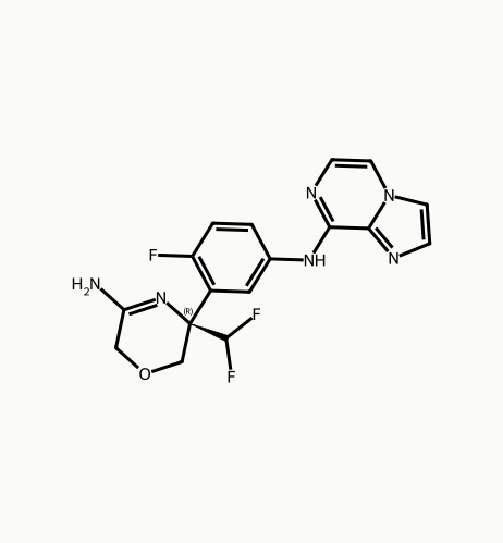 NC1=N[C@@](c2cc(Nc3nccn4ccnc34)ccc2F)(C(F)F)COC1